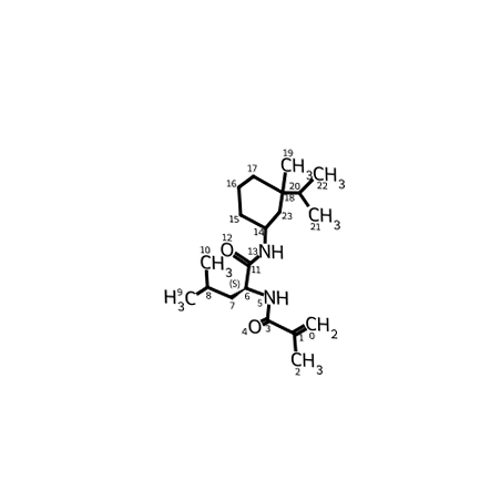 C=C(C)C(=O)N[C@@H](CC(C)C)C(=O)NC1CCCC(C)(C(C)C)C1